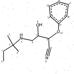 CCC(C)(C)NCC(O)C(C#N)Oc1ccccc1